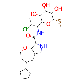 CSC1OC(C(NC(=O)C2NCC3CC(C4CCCC4)CCOC32)C(C)Cl)C(O)C(O)C1O